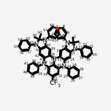 CC1(C)N(c2ccccc2)c2cc3c(cc2N1c1ccccc1)N(c1ccccc1)c1cc(C(F)(F)F)cc2c1B3c1cc3c(cc1N2c1ccccc1)N(c1ccccc1)C(C)(C)N3c1ccccc1